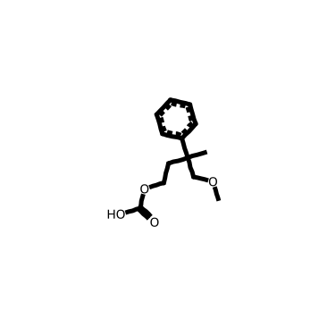 COCC(C)(CCOC(=O)O)c1ccccc1